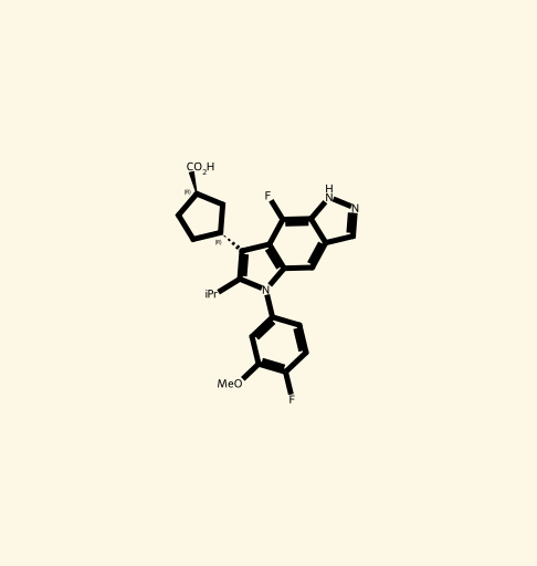 COc1cc(-n2c(C(C)C)c([C@@H]3CC[C@@H](C(=O)O)C3)c3c(F)c4[nH]ncc4cc32)ccc1F